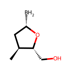 B[C@H]1C[C@H](C)[C@@H](CO)O1